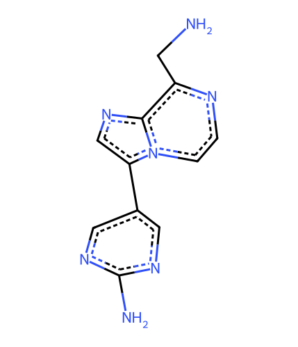 NCc1nccn2c(-c3cnc(N)nc3)cnc12